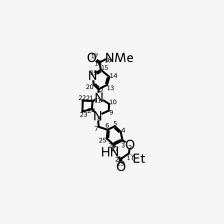 CC[C@H]1Oc2ccc(CN3CCN(c4ccc(C(=O)NC)nc4)C4CCC43)cc2NC1=O